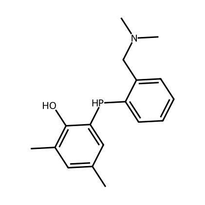 Cc1cc(C)c(O)c(Pc2ccccc2CN(C)C)c1